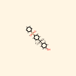 O=S(=O)(c1ccccc1)c1ccc(C(c2ccc(O)cc2)(C(F)(F)F)C(F)(F)F)cc1